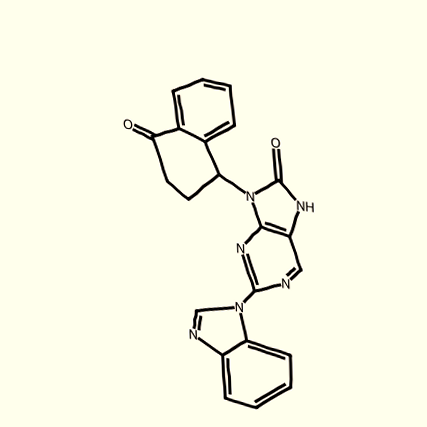 O=C1CCC(n2c(=O)[nH]c3cnc(-n4cnc5ccccc54)nc32)c2ccccc21